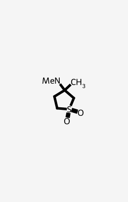 CNC1(C)CCS(=O)(=O)C1